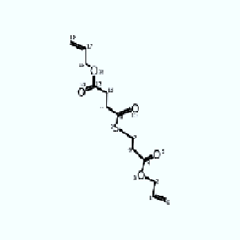 C=CCOC(=O)CCSC(=O)CCC(=O)OCC=C